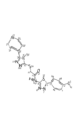 COc1ccc(-c2nnc(NC(=O)CSc3nnc(-c4ccncc4)n3C)s2)cc1